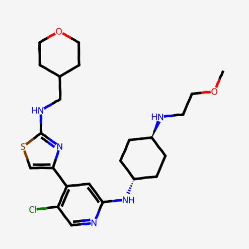 COCCN[C@H]1CC[C@H](Nc2cc(-c3csc(NCC4CCOCC4)n3)c(Cl)cn2)CC1